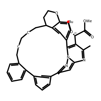 COC(=O)[C@@H](OC(C)(C)C)c1c(C)nc2cc3nn2c1-c1ccc2c(c1)C(CCCCCc1ccccc1-c1cccc-3c1)CCO2